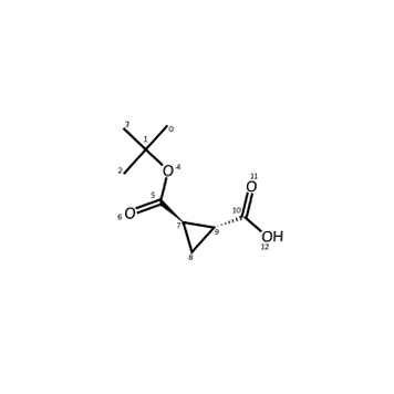 CC(C)(C)OC(=O)[C@@H]1C[C@H]1C(=O)O